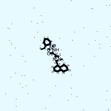 CCc1ccccc1S(=O)(=O)NC(=O)c1cn(C)c(-c2cccc3ccccc23)n1